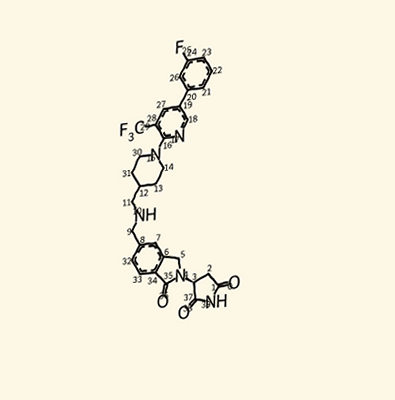 O=C1C[C@H](N2Cc3cc(CNCC4CCN(c5ncc(-c6cccc(F)c6)cc5C(F)(F)F)CC4)ccc3C2=O)C(=O)N1